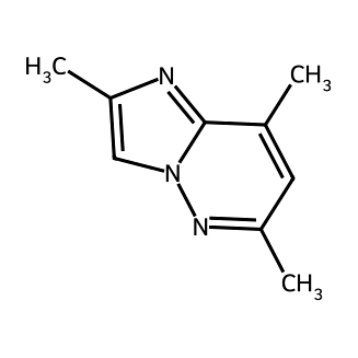 Cc1cn2nc(C)cc(C)c2n1